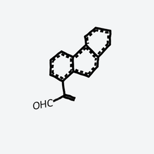 C=C(C=O)c1cccc2c1ccc1ccccc12